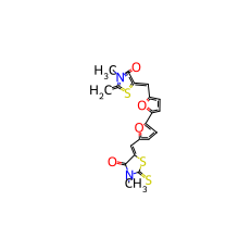 C=c1s/c(=C\c2ccc(-c3ccc(/C=C4\SC(=S)N(C)C4=O)o3)o2)c(=O)n1C